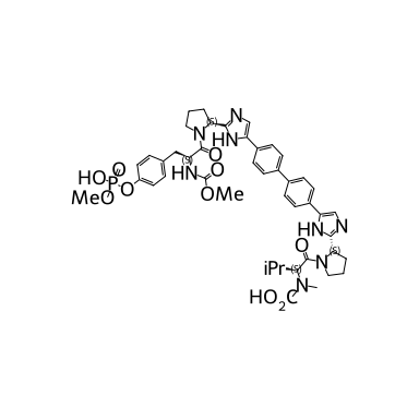 COC(=O)N[C@@H](Cc1ccc(OP(=O)(O)OC)cc1)C(=O)N1CCC[C@H]1c1ncc(-c2ccc(-c3ccc(-c4cnc([C@@H]5CCCN5C(=O)[C@H](C(C)C)N(C)C(=O)O)[nH]4)cc3)cc2)[nH]1